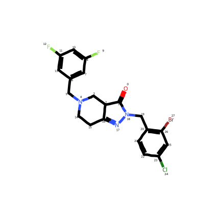 O=C1C2CN(Cc3cc(F)cc(F)c3)CCC2=NN1Cc1ccc(Cl)cc1Br